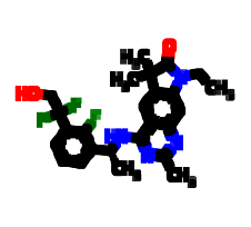 CCN1C(=O)C(C)(C)c2cc3c(N[C@H](C)c4cccc(C(F)(F)CO)c4F)nc(C)nc3cc21